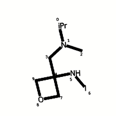 CC(C)N(C)CC1(NI)COC1